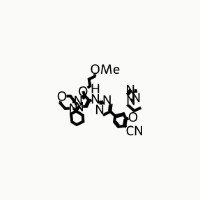 COCCCOc1nn(C2(N3CCOCC3)CCCCC2)cc1Nc1ncc(-c2ccc(C#N)c(OC(C)Cn3cncn3)c2)cn1